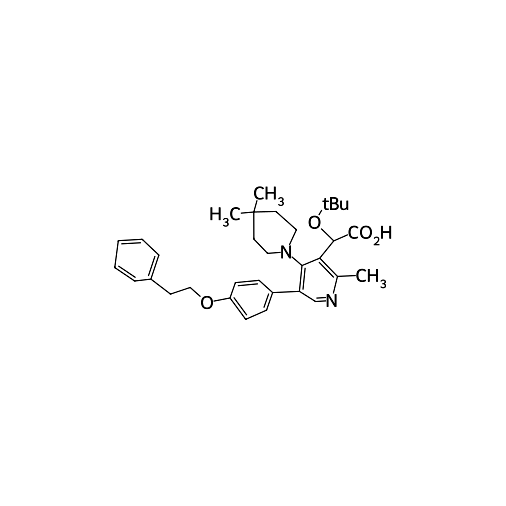 Cc1ncc(-c2ccc(OCCc3ccccc3)cc2)c(N2CCC(C)(C)CC2)c1C(OC(C)(C)C)C(=O)O